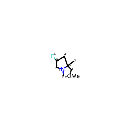 COCC1(C)CC(F)CN1C